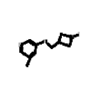 Cc1cncc(OCC2CN(I)C2)c1